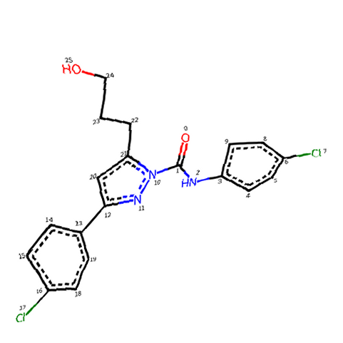 O=C(Nc1ccc(Cl)cc1)n1nc(-c2ccc(Cl)cc2)cc1CCCO